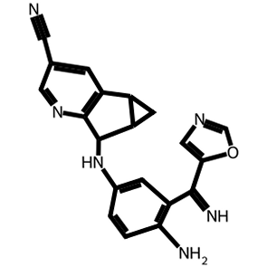 N#Cc1cnc2c(c1)C1CC1C2Nc1ccc(N)c(C(=N)c2cnco2)c1